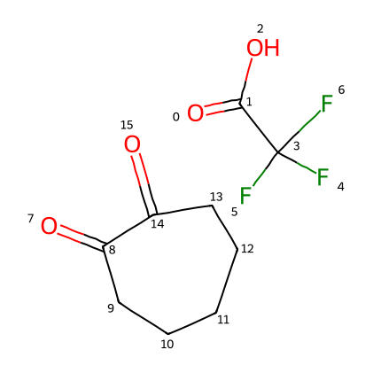 O=C(O)C(F)(F)F.O=C1CCCCCC1=O